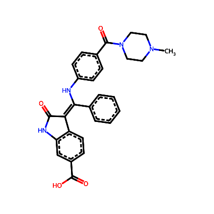 CN1CCN(C(=O)c2ccc(N/C(=C3\C(=O)Nc4cc(C(=O)O)ccc43)c3ccccc3)cc2)CC1